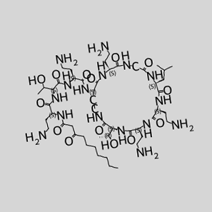 CCCCCCCC(=O)CC(=O)N[C@@H](CCN)C(=O)N[C@H](C(=O)N[C@@H](CCN)C(=O)N[C@H]1CCNC(=O)[C@H]([C@@H](C)O)NC(=O)[C@H](CCN)NC(=O)[C@H](CCN)NC(=O)[C@H](CC(C)C)NC(=O)CNC(=O)[C@H](CCN)NC1=O)C(C)O